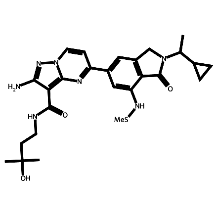 CSNc1cc(-c2ccn3nc(N)c(C(=O)NCCC(C)(C)O)c3n2)cc2c1C(=O)N(C(C)C1CC1)C2